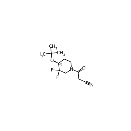 CC(C)(C)O[C@H]1CCN(C(=O)CC#N)CC1(F)F